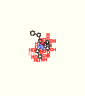 Bc1c(O)c(O)c(C(=N/Cc2ccc(-c3cccc(C4=CCC=CC=C4)c3)cc2)/N=C(\N=C)c2c(O)c(O)c(O)c3oc4c(O)c(O)c(O)c(O)c4c23)c2oc3c(O)c(O)c(O)c(O)c3c12